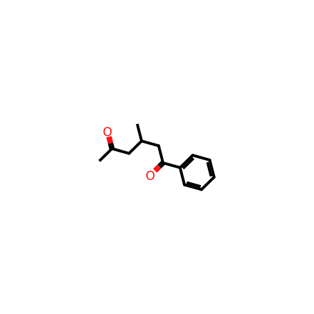 CC(=O)CC(C)CC(=O)c1ccccc1